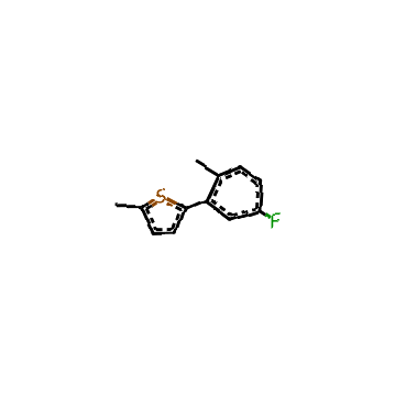 Cc1ccc(-c2cc(F)ccc2C)s1